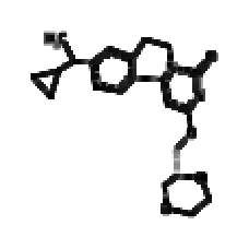 CC(c1ccc2c(c1)CCn1c-2cc(OC[C@H]2COCCO2)nc1=O)C1CC1